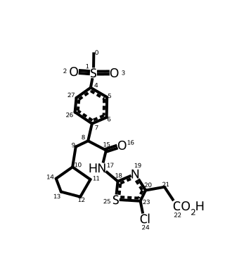 CS(=O)(=O)c1ccc(C(CC2CCCC2)C(=O)Nc2nc(CC(=O)O)c(Cl)s2)cc1